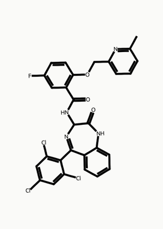 Cc1cccc(COc2ccc(F)cc2C(=O)NC2N=C(c3c(Cl)cc(Cl)cc3Cl)c3ccccc3NC2=O)n1